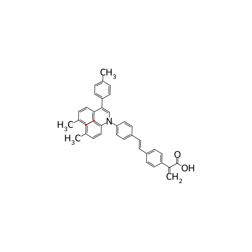 C=C(C(=O)O)c1ccc(C=Cc2ccc(N(C=C(c3ccc(C)cc3)c3ccc(C)cc3)c3ccc(C)cc3)cc2)cc1